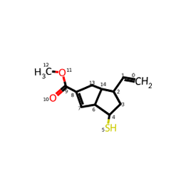 C=CC1CC(S)C2C=C(C(=O)OC)CC12